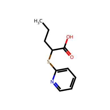 CCCC(Sc1ccccn1)C(=O)O